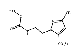 CCOC(=O)c1cc(C(F)(F)F)nn1CCNC(=O)OC(C)(C)C